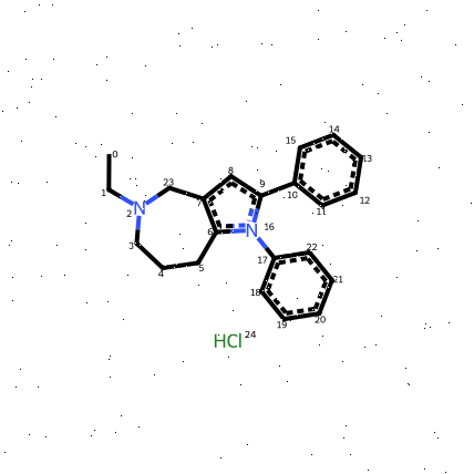 CCN1CCCc2c(cc(-c3ccccc3)n2-c2ccccc2)C1.Cl